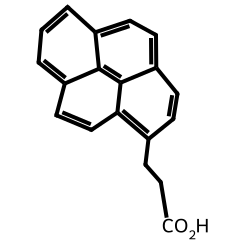 O=C(O)CCc1ccc2ccc3cccc4ccc1c2c34